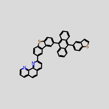 c1cnc2c(c1)ccc1ccc(-c3ccc4sc5ccc(-c6c7ccccc7c(-c7ccc8sccc8c7)c7ccccc67)cc5c4c3)nc12